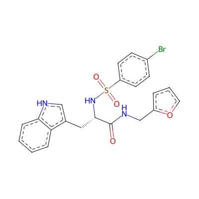 O=C(NCc1ccco1)[C@H](Cc1c[nH]c2ccccc12)NS(=O)(=O)c1ccc(Br)cc1